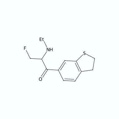 CCNC(CF)C(=O)c1ccc2c(c1)SCC2